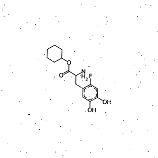 NC(Cc1cc(O)c(O)cc1F)C(=O)OC1CCCCC1